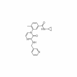 Cc1ccc(C(=O)NC2CC2)cc1-n1ccnc(NCc2cccnc2)c1=O